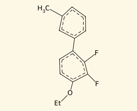 CCOc1ccc(-c2cccc(C)c2)c(F)c1F